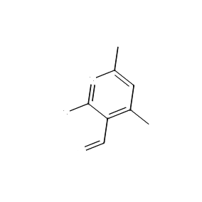 Cc1cc(C)c(C=O)c(N)n1